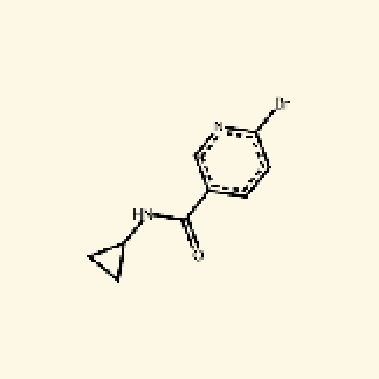 O=C(NC1CC1)c1ccc(Br)nc1